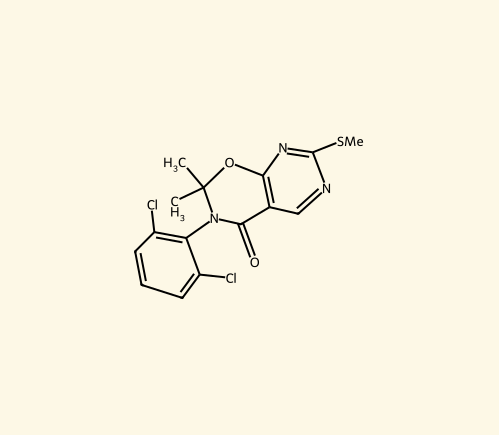 CSc1ncc2c(n1)OC(C)(C)N(c1c(Cl)cccc1Cl)C2=O